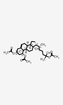 CC(=O)O[C@@H]1CC2=CC[C@H]3[C@@H]4CC[C@H]([C@H](C)CCCC(C)(C)OC(C)=O)[C@@]4(C)CC[C@@H]3[C@@]2(C)[C@@H](OC(C)=O)C1